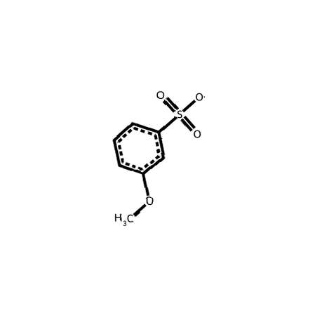 COc1cccc(S([O])(=O)=O)c1